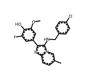 COc1cc(-c2nc3ccc(C)cn3c2NCc2ccc(Cl)cc2)cc(F)c1O